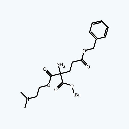 CN(C)CCOC(=O)C(N)(CCC(=O)OCc1ccccc1)C(=O)OC(C)(C)C